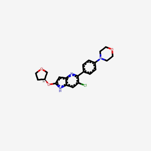 Clc1cc2[nH]c(O[C@H]3CCOC3)cc2nc1-c1ccc(N2CCOCC2)cc1